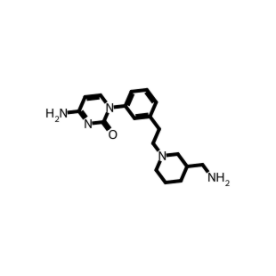 NCC1CCCN(CCc2cccc(-n3ccc(N)nc3=O)c2)C1